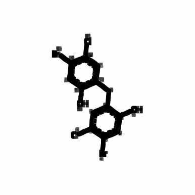 Oc1cc(Br)c(Cl)cc1Cc1cc(Cl)c(Br)cc1O